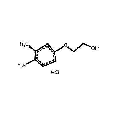 Cc1cc(OCCO)ccc1N.Cl